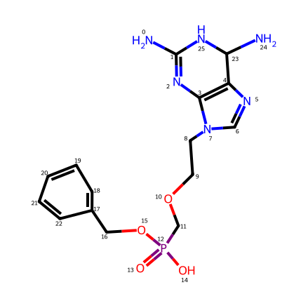 NC1=Nc2c(ncn2CCOCP(=O)(O)OCc2ccccc2)C(N)N1